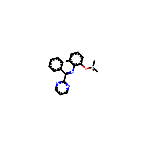 Cc1cccc(O[SiH](C)C)c1N=C(c1ccccc1)c1ncccn1